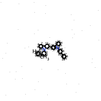 CC1C(n2c3c(c4ccccc42)CCC(c2ccc4c(c2)c2ccccc2n4C2=CCC(c4ccccc4)C=C2)=C3)CCCC1(C)C1=CC=CCC1